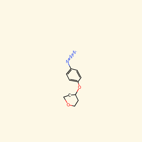 [N-]=[N+]=Nc1ccc(OC2CCOCC2)cc1